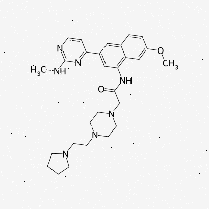 CNc1nccc(-c2cc(NC(=O)CN3CCN(CCN4CCCC4)CC3)c3cc(OC)ccc3c2)n1